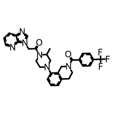 CC1CN(c2cccc3c2CN(C(=O)c2ccc(C(F)(F)F)cc2)CC3)CCN1C(=O)Cn1cnc2cccnc21